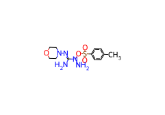 Cc1ccc(S(=O)(=O)ON(N)C(N)=NN2CCOCC2)cc1